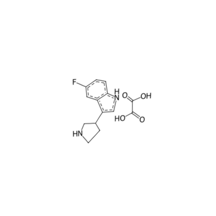 Fc1ccc2[nH]cc(C3CCNC3)c2c1.O=C(O)C(=O)O